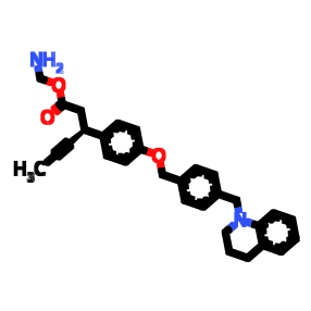 CC#C[C@@H](CC(=O)OCN)c1ccc(OCc2ccc(CN3CCCc4ccccc43)cc2)cc1